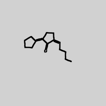 CCCCC=C1CCC(=C2CCCC2)C1=O